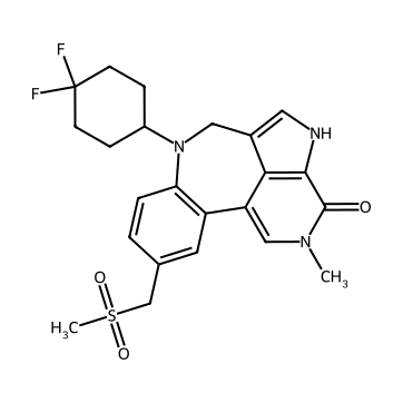 Cn1cc2c3c(c[nH]c3c1=O)CN(C1CCC(F)(F)CC1)c1ccc(CS(C)(=O)=O)cc1-2